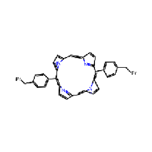 CC(C)Cc1ccc(-c2c3nc(cc4ccc([nH]4)c(-c4ccc(CC(C)C)cc4)c4nc(cc5ccc2[nH]5)C=C4)C=C3)cc1